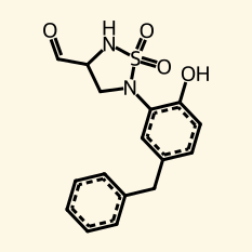 O=CC1CN(c2cc(Cc3ccccc3)ccc2O)S(=O)(=O)N1